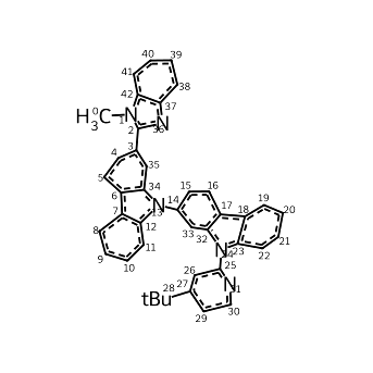 Cn1c(-c2ccc3c4ccccc4n(-c4ccc5c6ccccc6n(-c6cc(C(C)(C)C)ccn6)c5c4)c3c2)nc2ccccc21